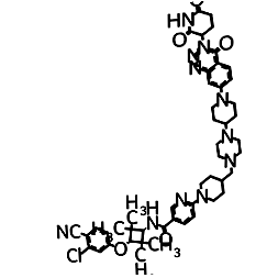 CC1(C)[C@H](NC(=O)c2ccc(N3CCC(CN4CCN(C5CCN(c6ccc7c(=O)n(C8CCC(=O)NC8=O)nnc7c6)CC5)CC4)CC3)nc2)C(C)(C)[C@H]1Oc1ccc(C#N)c(Cl)c1